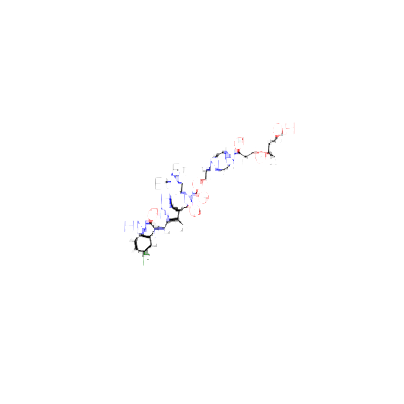 CCN(CC)CCN(C(=O)OCCN1CCN(C(=O)CCOC(C)CCO)CC1)C(=O)c1c(C)[nH]c(/C=C2\C(=O)Nc3ccc(F)cc32)c1C